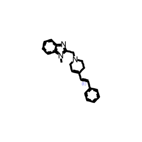 Cn1c(CN2CC=C(/C=C/c3ccccc3)CC2)nc2ccccc21